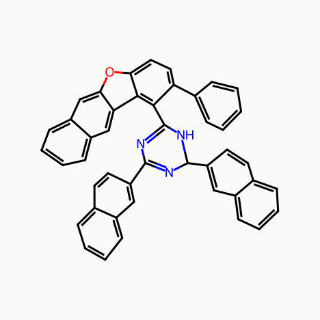 c1ccc(-c2ccc3oc4cc5ccccc5cc4c3c2C2=NC(c3ccc4ccccc4c3)=NC(c3ccc4ccccc4c3)N2)cc1